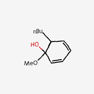 CCCCC1C=CC=CC1(O)OC